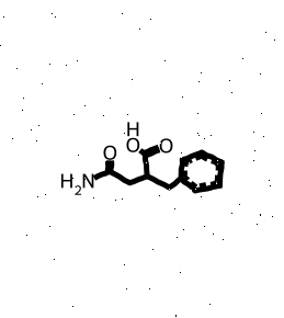 NC(=O)CC(Cc1ccccc1)C(=O)O